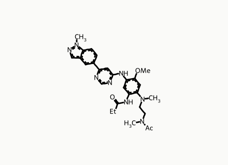 CCC(=O)Nc1cc(Nc2cc(-c3ccc4c(cnn4C)c3)ncn2)c(OC)cc1N(C)CCN(C)C(C)=O